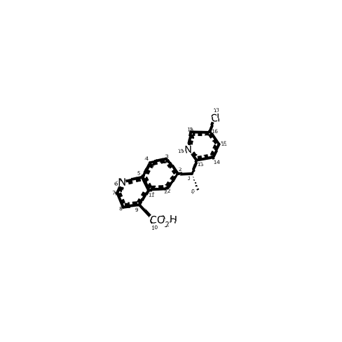 C[C@H](c1ccc2nccc(C(=O)O)c2c1)c1ccc(Cl)cn1